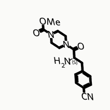 COC(=O)N1CCN(C(=O)[C@@H](N)Cc2ccc(C#N)cc2)CC1